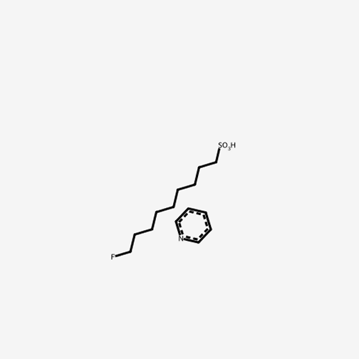 O=S(=O)(O)CCCCCCCCCF.c1ccncc1